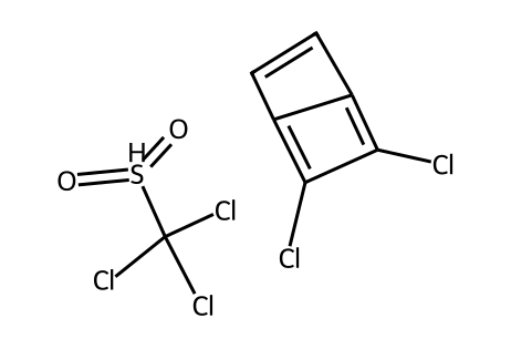 Clc1c2ccc-2c1Cl.O=[SH](=O)C(Cl)(Cl)Cl